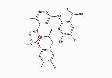 Cc1ncc(Nc2nc(N[C@H](c3ccc(F)c(F)c3)[C@H](C)NC(=O)O)c(F)cc2C(N)=O)cc1-n1nccn1